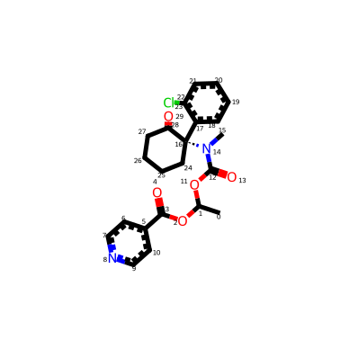 CC(OC(=O)c1ccncc1)OC(=O)N(C)[C@]1(c2ccccc2Cl)CCCCC1=O